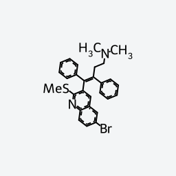 CSc1nc2ccc(Br)cc2cc1/C(=C(/CCN(C)C)c1ccccc1)c1ccccc1